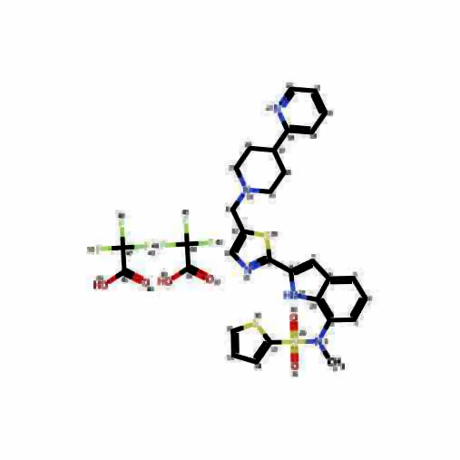 CN(c1cccc2cc(-c3ncc(CN4CCC(c5ccccn5)CC4)s3)[nH]c12)S(=O)(=O)c1cccs1.O=C(O)C(F)(F)F.O=C(O)C(F)(F)F